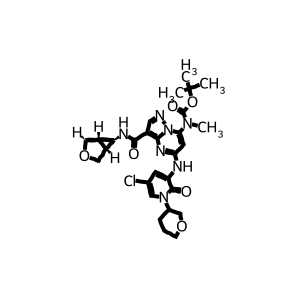 CN(C(=O)OC(C)(C)C)c1cc(Nc2cc(Cl)cn(C3CCCOC3)c2=O)nc2c(C(=O)N[C@@]34[C@@H]5[C@H]3CO[C@@H]54)cnn12